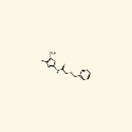 Cc1nc(NC(=O)COCc2ccccc2)sc1C(=O)O